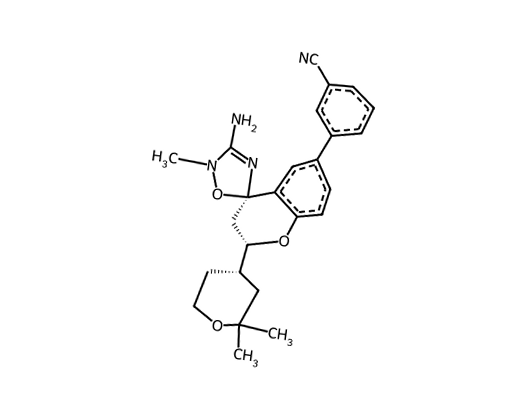 CN1O[C@@]2(C[C@@H]([C@H]3CCOC(C)(C)C3)Oc3ccc(-c4cccc(C#N)c4)cc32)N=C1N